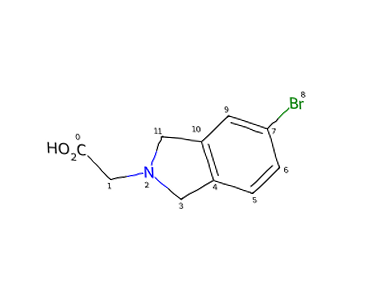 O=C(O)CN1Cc2ccc(Br)cc2C1